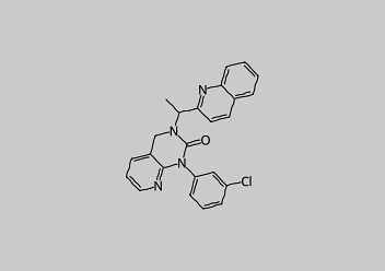 CC(c1ccc2ccccc2n1)N1Cc2cccnc2N(c2cccc(Cl)c2)C1=O